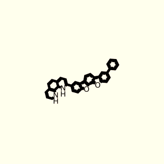 C1=CC2=C(NC1)C1NC(c3ccc4oc5c(ccc6c7cc(-c8ccccc8)ccc7oc65)c4c3)=CC=C1C=C2